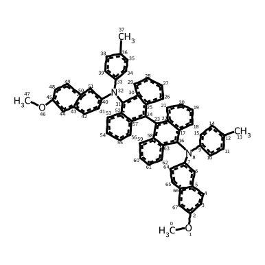 COc1ccc2cc(N(c3ccc(C)cc3)c3c4ccccc4c(-c4c5ccccc5c(N(c5ccc(C)cc5)c5ccc6cc(OC)ccc6c5)c5ccccc45)c4ccccc34)ccc2c1